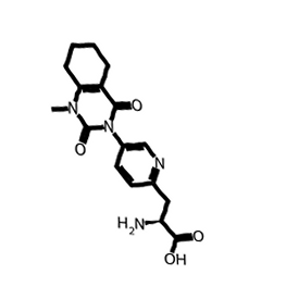 Cn1c2c(c(=O)n(-c3ccc(C[C@H](N)C(=O)O)nc3)c1=O)CCCC2